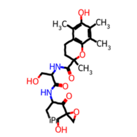 Cc1c(C)c2c(c(C)c1O)CCC(C)(C(=O)NC(CO)C(=O)NC(CC(C)C)C(=O)C1(CO)CO1)O2